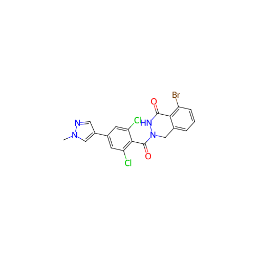 Cn1cc(-c2cc(Cl)c(C(=O)N3Cc4cccc(Br)c4C(=O)N3)c(Cl)c2)cn1